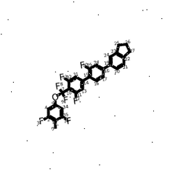 Cc1c(F)cc(OC(F)(F)c2c(F)cc(-c3ccc(-c4ccc5c(c4)CCC5)cc3F)cc2F)cc1F